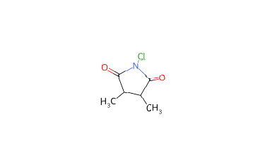 CC1C(=O)N(Cl)C(=O)C1C